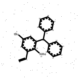 C=Cc1cc(C(C)(C)C)cc(C(c2ccccc2)c2ccccc2)c1NC